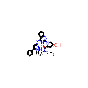 CN(C)C(=O)[C@@H]1C[C@H](O)CN1c1nc2c(c(Nc3cc(C4CCCC4)[nH]n3)n1)CCC2